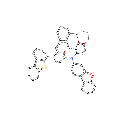 c1ccc(N(c2ccc(-c3cccc4c3sc3ccccc34)cc2)c2ccc3c(c2)oc2ccccc23)c(-c2cccc3cccc(C4CCCCC4)c23)c1